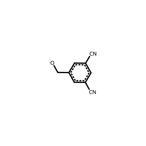 N#Cc1cc(C#N)cc(C[O])c1